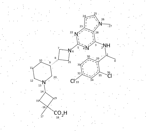 CC(Nc1nc(N2CC([C@H]3CCCN(C4CC(C)(C(=O)O)C4)C3)C2)nc2ccn(C)c12)c1ccc(Cl)cc1Cl